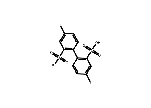 O=S(=O)(O)c1cc(I)ccc1-c1ccc(I)cc1S(=O)(=O)O